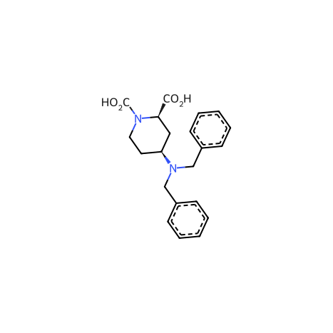 O=C(O)[C@H]1C[C@@H](N(Cc2ccccc2)Cc2ccccc2)CCN1C(=O)O